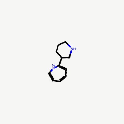 [CH]1CCNCC1C1=CC=CC=CN1